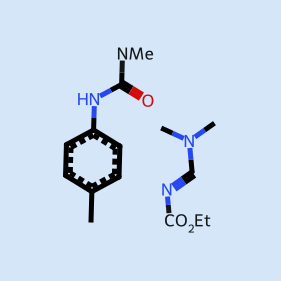 CCOC(=O)N=CN(C)C.CNC(=O)Nc1ccc(C)cc1